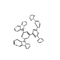 c1ccc(-c2nc(-c3cccc(-c4ncccn4)c3)cc(-c3cc(-n4c5ccccc5c5ccccc54)cc(-n4c5ccccc5c5ccccc54)c3)n2)cc1